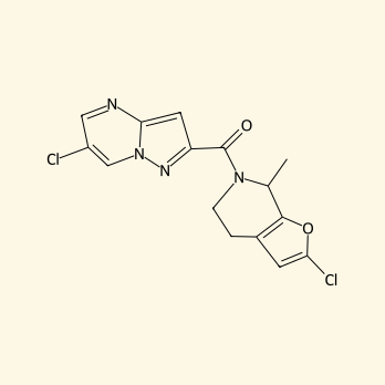 CC1c2oc(Cl)cc2CCN1C(=O)c1cc2ncc(Cl)cn2n1